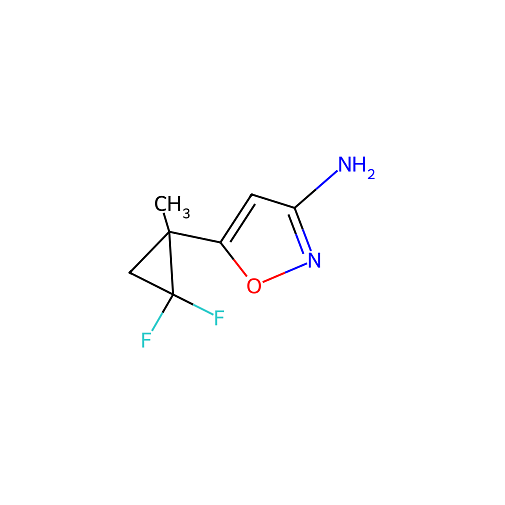 CC1(c2cc(N)no2)CC1(F)F